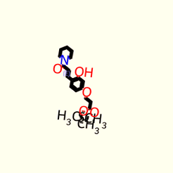 C[Si](C)(C)OC(=O)CCOc1ccc(/C=C/C(=O)N2CCCCC2)c(O)c1